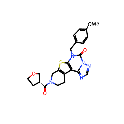 COc1ccc(Cn2c(=O)n3ncnc3c3c4c(sc32)CN(C(=O)[C@@H]2CCOC2)CC4)cc1